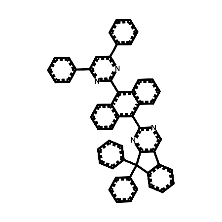 c1ccc(-c2cc(-c3ccccc3)nc(-c3c4ccccc4c(-c4ncc5c(n4)C(c4ccccc4)(c4ccccc4)c4ccccc4-5)c4ccccc34)n2)cc1